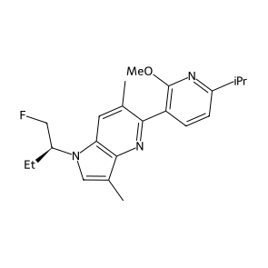 CC[C@@H](CF)n1cc(C)c2nc(-c3ccc(C(C)C)nc3OC)c(C)cc21